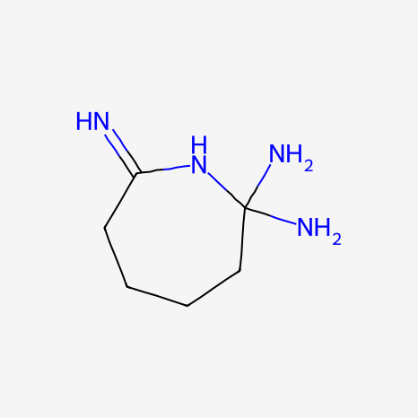 N=C1CCCCC(N)(N)N1